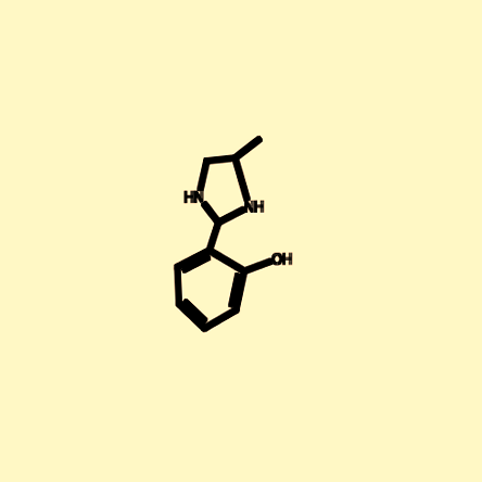 CC1CNC(c2ccccc2O)N1